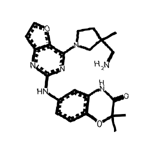 CC1(CN)CCN(c2nc(Nc3ccc4c(c3)NC(=O)C(C)(C)O4)nc3ccoc23)C1